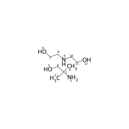 CC(C)(N)CO.OCCNCCO